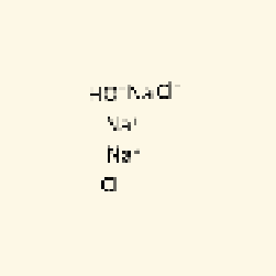 [Cl-].[Cl-].[Na+].[Na+].[Na+].[OH-]